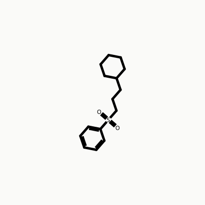 O=S(=O)(CCCC1CCCCC1)c1ccccc1